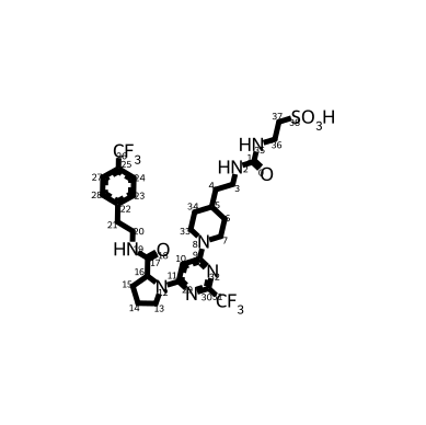 O=C(NCCC1CCN(c2cc(N3CCCC3C(=O)NCCc3ccc(C(F)(F)F)cc3)nc(C(F)(F)F)n2)CC1)NCCS(=O)(=O)O